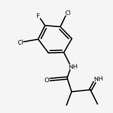 CC(=N)C(C)C(=O)Nc1cc(Cl)c(F)c(Cl)c1